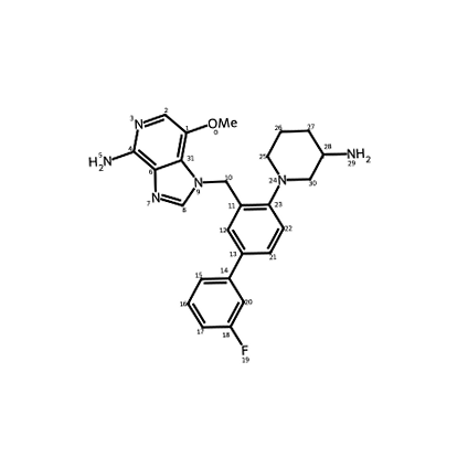 COc1cnc(N)c2ncn(Cc3cc(-c4cccc(F)c4)ccc3N3CCC[C](N)C3)c12